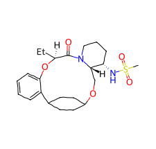 CC[C@@H]1Oc2ccccc2C2CCC(CC2)OC[C@H]2[C@@H](NS(C)(=O)=O)CCCN2C1=O